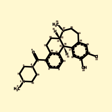 CN1CCN(C(=O)c2cccc3c2CC[C@H]2[C@H]3c3cc(O)c(Cl)cc3CCN2C)CC1